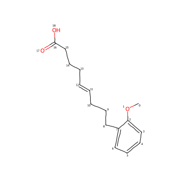 COc1ccccc1CCCC=CCCCC(=O)O